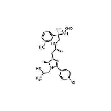 CC(CNC(=O)Cn1nc(-c2ccc(Cl)cc2)n(CC(O)C(F)(F)F)c1=O)(NC=O)c1cccc(C(F)(F)F)c1